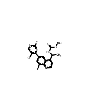 CC(NC(=O)OC(C)(C)C)c1ccnc2c(F)cc(-c3nc(Cl)ncc3Cl)cc12